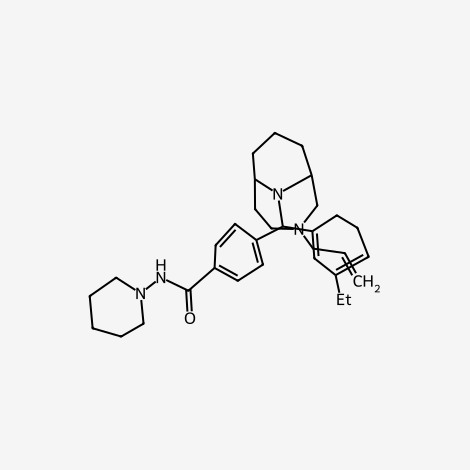 C=CCN1CCC2CCCC(C1)N2C(C1=CC(CC)=CCC1)c1ccc(C(=O)NN2CCCCC2)cc1